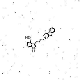 OCc1cccc2[nH]cc(CCCCN3CCC4=C(Cc5ccccc54)C3)c12